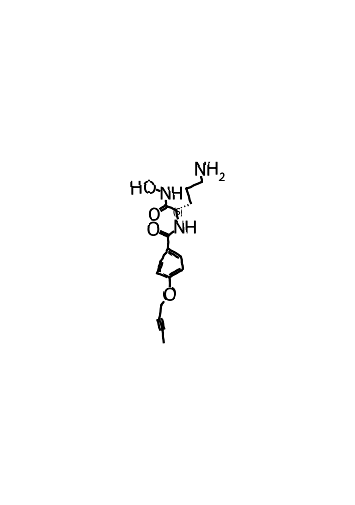 CC#CCOc1ccc(C(=O)N[C@@H](CCCN)C(=O)NO)cc1